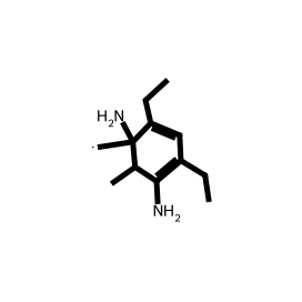 [CH2]C1(N)C(CC)=CC(CC)=C(N)C1C